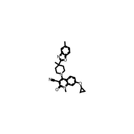 Cc1ccc2oc(C3(C)CCN(c4c(C#N)c(=O)n(C)c5cc(OC6CC6)ccc45)CC3)nc2c1